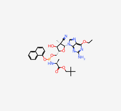 CCOc1nc(N)nc2c1ncn2[C@@H]1O[C@H](COP(N[C@@H](C)C(=O)OCC(C)(C)C)Oc2cccc3ccccc23)[C@@H](O)[C@@]1(C)C#N